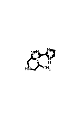 CC1CNCc2nnc(-c3ncc[nH]3)n21